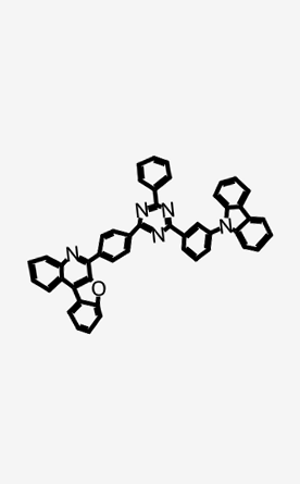 c1ccc(-c2nc(-c3ccc(-c4nc5ccccc5c5c4oc4ccccc45)cc3)nc(-c3cccc(-n4c5ccccc5c5ccccc54)c3)n2)cc1